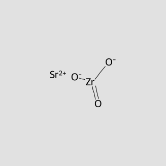 [O]=[Zr]([O-])[O-].[Sr+2]